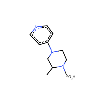 CC1CN(c2ccncc2)CCN1S(=O)(=O)O